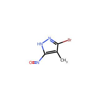 Cc1c(Br)n[nH]c1N=O